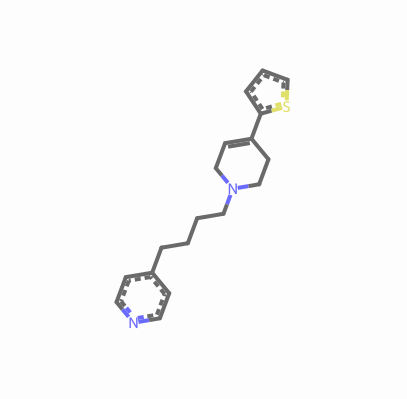 C1=C(c2cccs2)CCN(CCCCc2ccncc2)C1